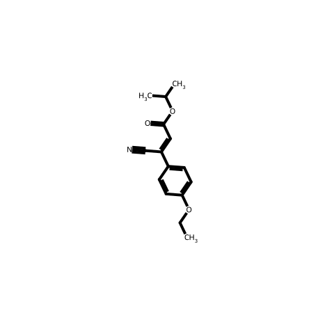 CCOc1ccc(C(C#N)=CC(=O)OC(C)C)cc1